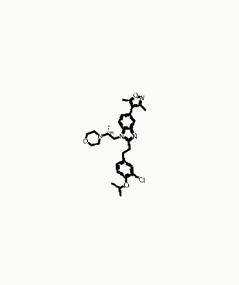 Cc1noc(C)c1-c1ccc2c(c1)nc(CCc1ccc(OC(C)C)c(Cl)c1)n2C[C@@H](C)N1CCOCC1